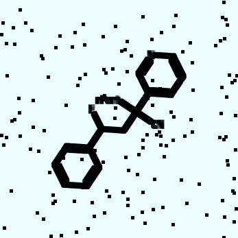 CCCCCC(C#N)(CC(F)c1ccccc1)c1cccnc1